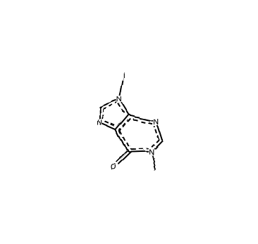 Cn1cnc2c(ncn2I)c1=O